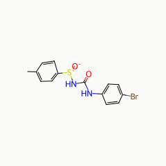 Cc1ccc([S+]([O-])NC(=O)Nc2ccc(Br)cc2)cc1